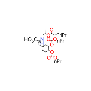 CCCOC(=O)Oc1ccc(C[C@H](NCC(C)OC(=O)CCC(C)C)C(=O)O)cc1OC(=O)OCCC